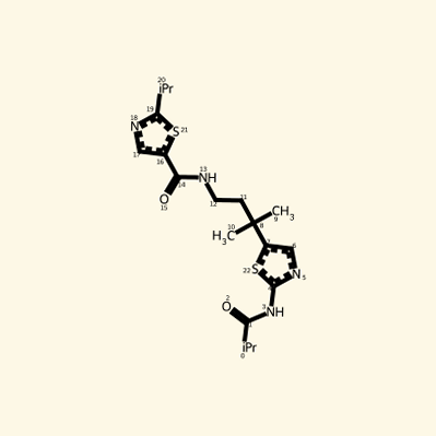 CC(C)C(=O)Nc1ncc(C(C)(C)CCNC(=O)c2cnc(C(C)C)s2)s1